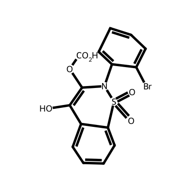 O=C(O)OC1=C(O)c2ccccc2S(=O)(=O)N1c1ccccc1Br